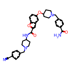 N#Cc1ccc(CN2CCC(NC(=O)c3cc4cc(OC5CCN(Cc6ccc(C(N)=O)cc6)CC5)ccc4o3)CC2)cc1